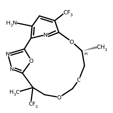 C[C@@H]1CCCOCC(C)(C(F)(F)F)c2nnc(o2)-c2nc(c(C(F)(F)F)cc2N)O1